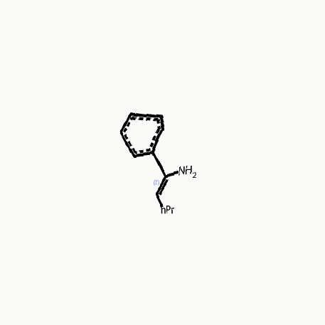 CCC/C=C(\N)c1ccccc1